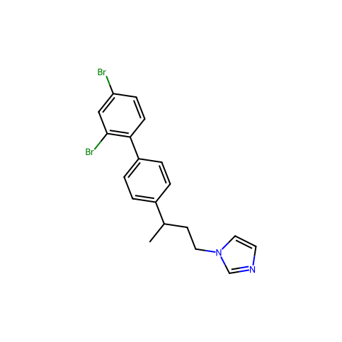 CC(CCn1ccnc1)c1ccc(-c2ccc(Br)cc2Br)cc1